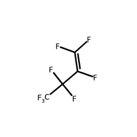 FC(F)=C(F)C(F)(F)C(F)(F)F